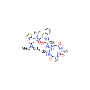 CON(C)C(=O)C[C@@H](NC(=O)[C@@H](NC(=O)[C@@H](/N=C1\NCC(=O)N[C@@H](C(C)C)C(=O)N[C@@H](C(C)C)C(=O)N[C@H]1C(C)(C)C)C(C)(C)C)[C@@H](C)c1ccccc1)c1nccs1